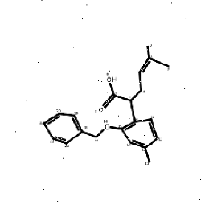 CC(C)=CCC(C(=O)O)c1ccc(C)cc1OCc1ccccc1